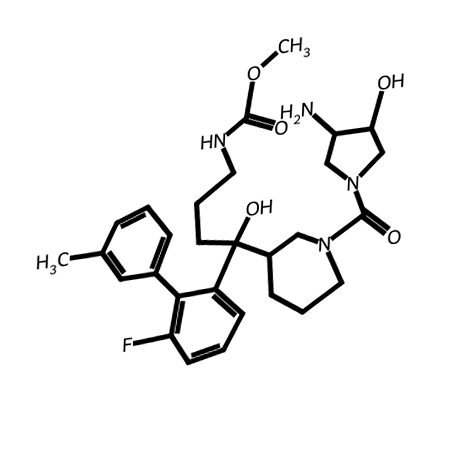 COC(=O)NCCCC(O)(c1cccc(F)c1-c1cccc(C)c1)C1CCCN(C(=O)N2CC(N)C(O)C2)C1